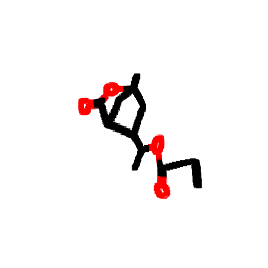 C=CC(=O)OC(C)C1CC2(C)CC1C(=O)O2